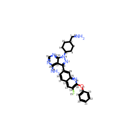 NCC1CCC(n2nc(-c3ccc4cc(F)c(Oc5ccccc5)nc4c3)c3c(N)ncnc32)CC1